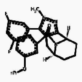 CCCOc1cccc(C(=O)N2[C@H]3CCC[C@@H]2c2nn(C)c(-c4cc(F)cc(F)c4)c2C3)c1